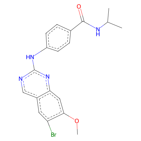 COc1cc2nc(Nc3ccc(C(=O)NC(C)C)cc3)ncc2cc1Br